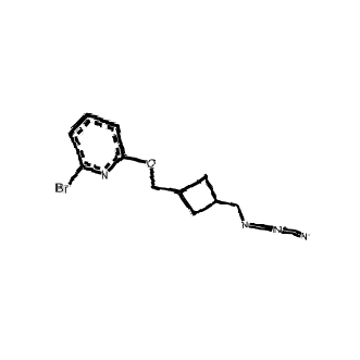 [N-]=[N+]=NCC1CC(COc2cccc(Br)n2)C1